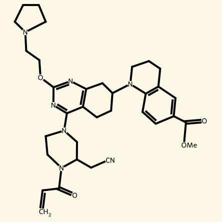 C=CC(=O)N1CCN(c2nc(OCCN3CCCC3)nc3c2CCC(N2CCCc4cc(C(=O)OC)ccc42)C3)CC1CC#N